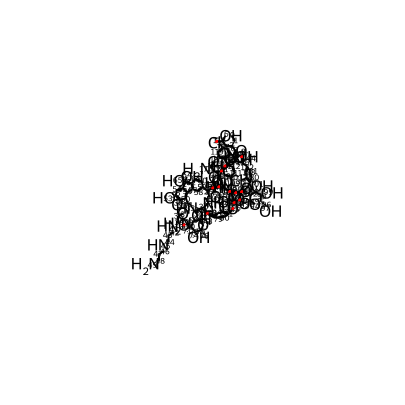 CC[C@H](CC(C)O)C(=O)N[C@H]1C(=O)C[C@@H](CC(N)=O)C(=O)N[C@H]2C(=O)C[C@H]3C(=O)N[C@H](C(=O)N[C@H](C(=O)OCC(=O)NCCCNCCCN)c4cc(O)cc5c4-c4cc3ccc4C5(O)O)[C@H](O[C@H]3C[C@](C)(N)[C@@H](O)[C@H](C)O3)c3ccc(c(Cl)c3)Oc3cc2cc(c3O[C@@H]2O[C@H](CO)[C@@H](O)[C@H](O)[C@H]2O[C@H]2C[C@](C)(NCc3ccc(-c4ccc(Cl)cc4)cc3)[C@@H](O)[C@H](C)O2)Oc2ccc(cc2Cl)[C@H]1O